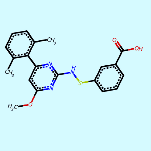 COc1cc(-c2c(C)cccc2C)nc(NSc2cccc(C(=O)O)c2)n1